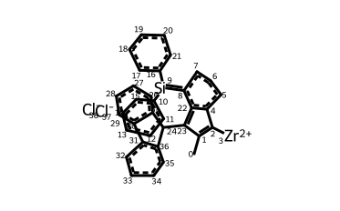 CC1=[C]([Zr+2])c2cccc(=[Si](c3ccccc3)c3ccccc3)c2=C1C1c2ccccc2-c2ccccc21.[Cl-].[Cl-]